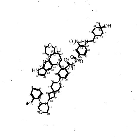 CC(C)c1ccccc1[C@@H]1COCCN1C1CC2(CCN(c3ccc(C(=O)NS(=O)(=O)c4ccc(NCC5CCC(C)(O)CC5)c([N+](=O)[O-])c4)c(N4CC[C@@H]5COCCN5c5nc6[nH]ccc6cc54)c3)CC2)C1